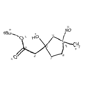 CC(C)(C)OC(=O)CC1(O)CCS(C)(N=O)C1